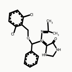 CC(C)=N[N+](=C1NCNC1=O)C(OCc1c(Cl)cccc1Cl)c1ccccc1